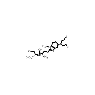 CCOC(=O)[C@H](CC(C)C)NC(O)[C@H](N)CCc1nc2cc(N(CCCl)CCCl)ccc2n1C